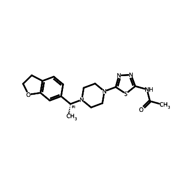 CC(=O)Nc1nnc(N2CCN([C@H](C)c3ccc4c(c3)OCC4)CC2)s1